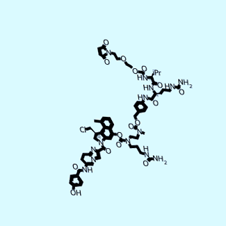 Cc1cccc2c(OC(=O)N(CCCNC(N)=O)CCN(C)C(=O)OCc3ccc(NC(=O)[C@H](CCCNC(N)=O)NC(=O)[C@@H](NC(=O)OCCOCCN4C(=O)C=CC4=O)C(C)C)cc3)cc3c(c12)[C@H](CCl)CN3C(=O)c1cn2c(n1)CCC(NC(=O)c1ccc(O)cc1)=C2